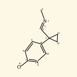 C/N=C/C1(c2ccc(Cl)nc2)CC1